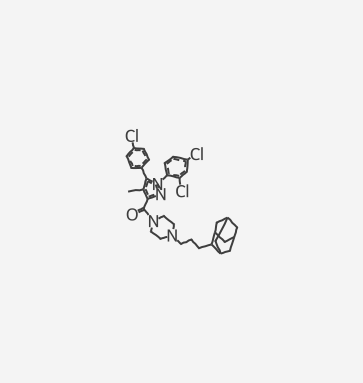 Cc1c(C(=O)N2CCN(CCCC3C4CC5CC(C4)CC3C5)CC2)nn(-c2ccc(Cl)cc2Cl)c1-c1ccc(Cl)cc1